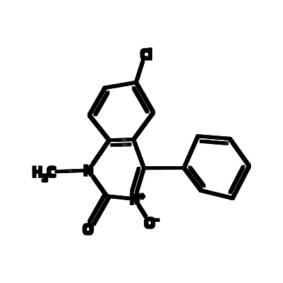 Cn1c(=O)[n+]([O-])c(-c2ccccc2)c2cc(Cl)ccc21